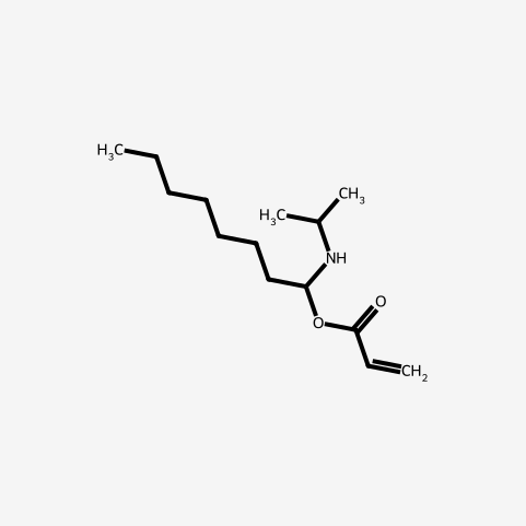 C=CC(=O)OC(CCCCCCC)NC(C)C